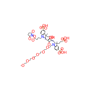 COCCOCCOCCOCCOCCOCCN1c2ccc(S(=O)(=O)O)cc2C(C)(CCCS(=O)(=O)O)C1/C=C1\C(=O)C(/C=C2/N(CCCC(=O)ON3C(=O)CCC3=O)c3ccc(S(=O)(=O)O)cc3C2(C)CCOC)=C1O